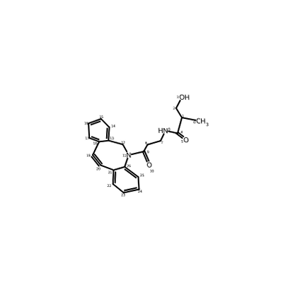 CC(CO)C(=O)NCCC(=O)N1Cc2ccccc2C#Cc2ccccc21